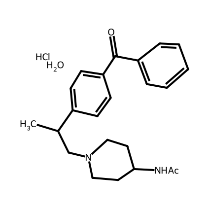 CC(=O)NC1CCN(CC(C)c2ccc(C(=O)c3ccccc3)cc2)CC1.Cl.O